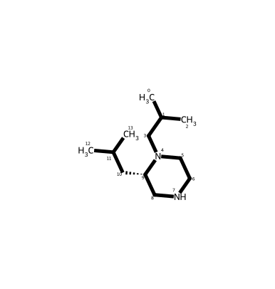 C[C](C)CN1CCNC[C@@H]1CC(C)C